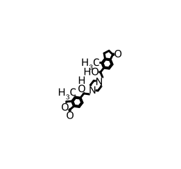 Cc1c(C(O)CN2CCN(CC(O)c3ccc4c(c3C)COC4=O)CC2)ccc2c1CCC2=O